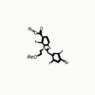 COCCn1c(Cc2cc(F)c(Br)cc2F)nc2ccc(C(=O)OC(C)(C)C)c(F)c21